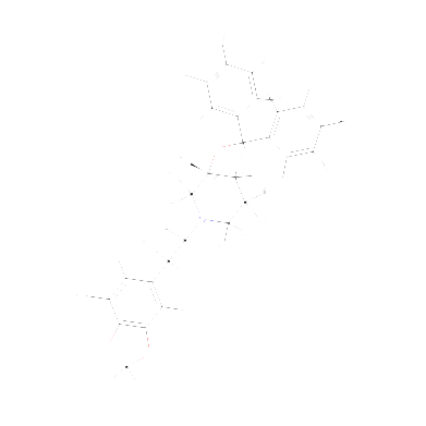 [2H]c1c([2H])c([2H])c(C([2H])(O[C@@]2([2H])C([2H])([2H])N(C([2H])([2H])C([2H])([2H])c3c([2H])c([2H])c4c(c3[2H])OC([2H])([2H])O4)C([2H])([2H])C([2H])([2H])C2([2H])[2H])c2c([2H])c([2H])c([2H])c([2H])c2[2H])c([2H])c1[2H]